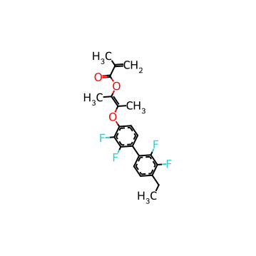 C=C(C)C(=O)O/C(C)=C(\C)Oc1ccc(-c2ccc(CC)c(F)c2F)c(F)c1F